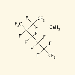 FC(F)(F)C(F)(F)C(F)(F)C(F)(F)C(F)(C(F)(F)F)C(F)(F)C(F)(F)F.[CaH2]